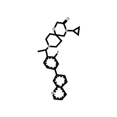 CC(c1ccc(-c2ccc3cccnc3c2)cc1F)N1CCC2(CC1)CN(C1CC1)C(=O)CO2